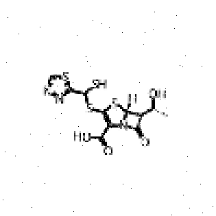 C[C@@H](O)[C@H]1C(=O)N2C(C(=O)O)=C(SC(S)c3nncs3)S[C@H]12